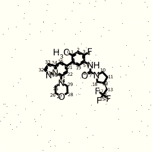 Cc1cc(F)c(NC(=O)N2CC[C@@H](CC(F)(F)F)C2)cc1-c1cc(N2CCOCC2)n2nccc2c1